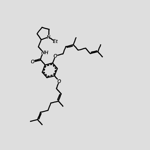 CCN1CCCC1CNC(=O)c1ccc(OCC=C(C)CCC=C(C)C)cc1OCC=C(C)CCC=C(C)C